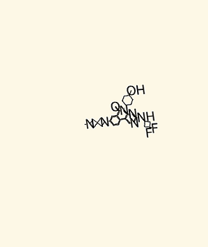 CN1CC2(C1)CN(c1ccc3c(c1)c(=O)n([C@H]1CC[C@H](O)CC1)c1nc(NC4CC(F)(F)C4)ncc31)C2